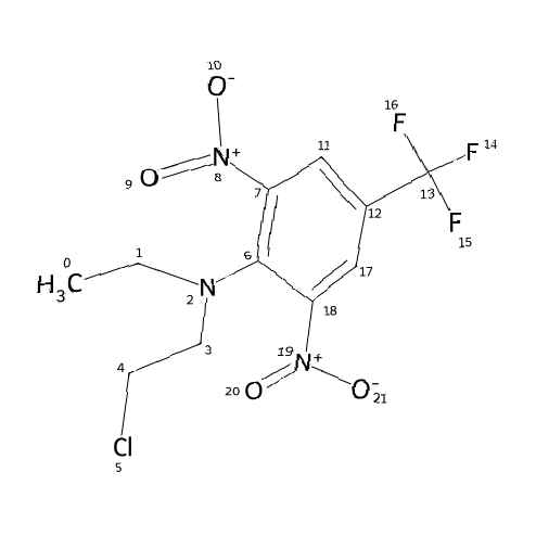 CCN(CCCl)c1c([N+](=O)[O-])cc(C(F)(F)F)cc1[N+](=O)[O-]